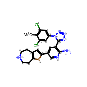 COc1c(Cl)cc(-n2nnnc2-c2cc(-c3cc4c(s3)CCNCC4)cnc2N)cc1Cl